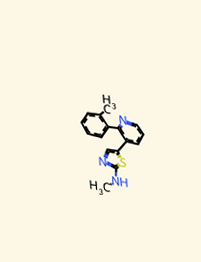 CNc1ncc(-c2cccnc2-c2ccccc2C)s1